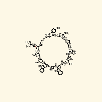 CCCC[C@H]1C(=O)N(C)[C@@H](CCCC)C(=O)N[C@@H](CCCNC(=N)N)C(=O)NCCSCC(=O)N[C@@H](Cc2ccc(O)cc2)C(=O)N(C)[C@@H](C)C(=O)N[C@@H](CC(N)=O)C(=O)N2CCCC2C(=O)N[C@@H](Cc2cnc[nH]2)C(=O)N[C@@H](CC(C)C)C(=O)N2C[C@H](O)CC2C(=O)N[C@@H](Cc2c[nH]c3ccccc23)C(=O)N[C@@H](CO)C(=O)N[C@@H](Cc2c[nH]c3ccccc23)C(=O)N1C